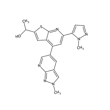 CC(O)c1cc2c(-c3cnc4nn(C)cc4c3)cc(-c3ccnn3C)nc2s1